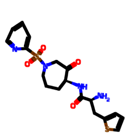 N[C@@H](Cc1cccs1)C(=O)N[C@H]1CCCN(S(=O)(=O)c2ccccn2)CC1=O